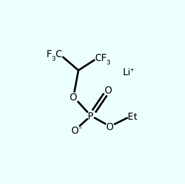 CCOP(=O)([O-])OC(C(F)(F)F)C(F)(F)F.[Li+]